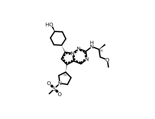 COC[C@H](C)Nc1ncc2c([C@@H]3CCN(S(C)(=O)=O)C3)cc([C@H]3CC[C@H](O)CC3)n2n1